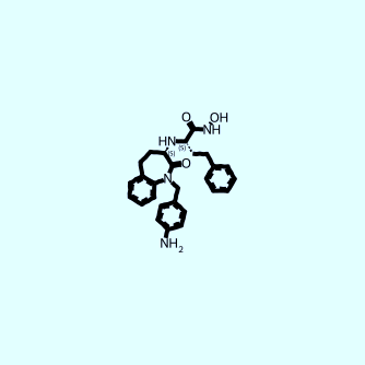 Nc1ccc(CN2C(=O)[C@@H](N[C@@H](CCc3ccccc3)C(=O)NO)CCc3ccccc32)cc1